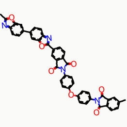 Cc1ccc2c(c1)C(=O)N(c1ccc(Oc3ccc(N4C(=O)c5ccc(-c6nc7ccc(-c8ccc9nc(C)oc9c8)cc7o6)cc5C4=O)cc3)cc1)C2=O